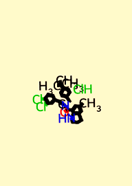 Cc1cc2c(c(C(=O)N(CCc3ccc(Cl)c(Cl)c3)Cc3ccc(C(C)(C)C)cc3)c1)NCCC2.Cl